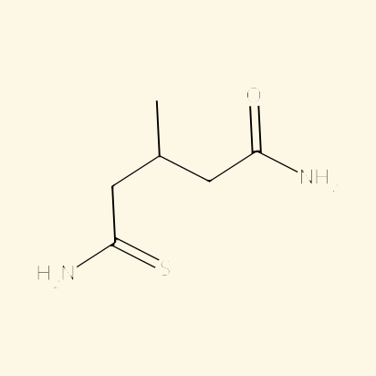 CC([CH]C(N)=S)CC(N)=O